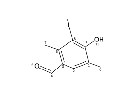 Cc1cc(C=O)c(C)c(I)c1O